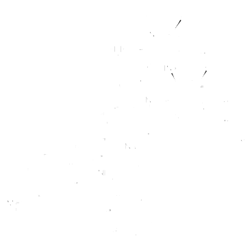 BC(=O)N(C)[C@@H](C)C(=O)N[C@H](C(=O)N1CCC[C@H]1CN(CCc1ccccc1)[S+]([O-])[C@H](N)Cc1ccc(OC)cc1)[C@@H](C)OCC#C